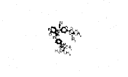 CC(C)N(C)S(=O)(=O)c1ccc(Nc2nn([C@]3(CC#N)CC[C@@H](C(=O)OC(C)(C)C)OC3)c3cc[nH]c(=O)c23)cc1